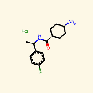 C[C@@H](NC(=O)[C@H]1CC[C@H](N)CC1)c1ccc(F)cc1.Cl